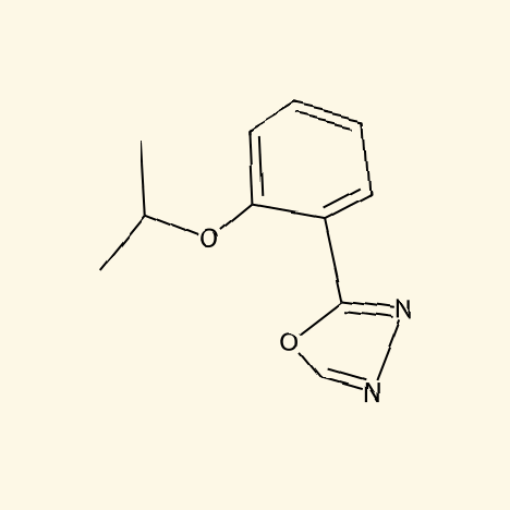 CC(C)Oc1ccccc1-c1nnco1